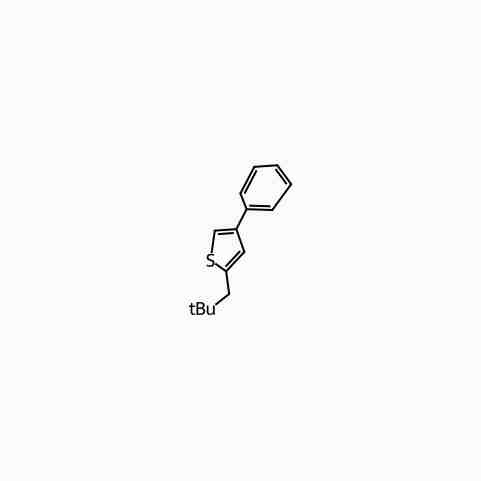 CC(C)(C)Cc1cc(-c2ccccc2)cs1